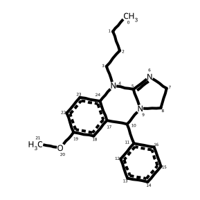 CCCCN1C2=NCCN2C(c2ccccc2)c2cc(OC)ccc21